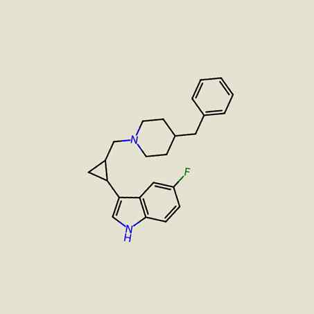 Fc1ccc2[nH]cc(C3CC3CN3CCC(Cc4ccccc4)CC3)c2c1